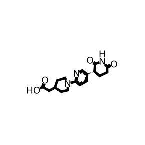 O=C(O)CC1CCN(c2ccc([C@H]3CCC(=O)NC3=O)cn2)CC1